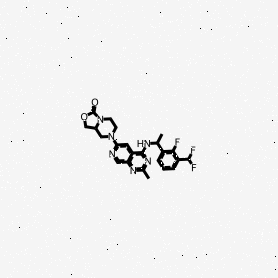 Cc1nc(NC(C)c2cccc(C(F)F)c2F)c2cc(N3CCN4C(=O)OCC4C3)ncc2n1